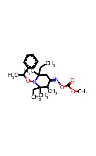 CCC1(C)C/C(=N/OC(=O)OC)C(C)C(C)(CC)N1OC(C)c1ccccc1